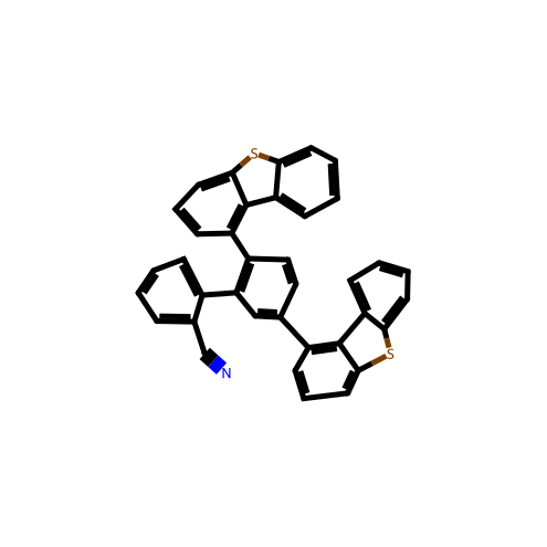 N#Cc1ccccc1-c1cc(-c2cccc3sc4ccccc4c23)ccc1-c1cccc2sc3ccccc3c12